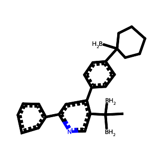 BC(B)(C)c1cnc(-c2ccccc2)cc1-c1ccc(C2(B)CCCCC2)cc1